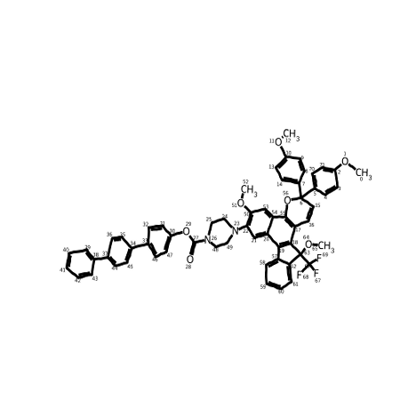 COc1ccc(C2(c3ccc(OC)cc3)C=Cc3c4c(c5cc(N6CCN(C(=O)Oc7ccc(-c8ccc(-c9ccccc9)cc8)cc7)CC6)c(OC)cc5c3O2)-c2ccccc2C4(OC)C(F)(F)F)cc1